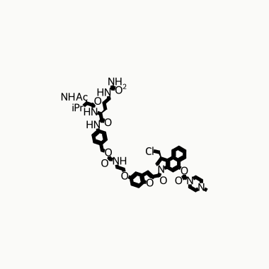 CC(=O)N[C@H](C(=O)N[C@@H](CCCNC(N)=O)C(=O)Nc1ccc(COC(=O)NCCOc2ccc3oc(C(=O)N4C[C@@H](CCl)c5c4cc(OC(=O)N4CCN(C)CC4)c4ccccc54)cc3c2)cc1)C(C)C